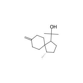 C=C1CCC2(CC1)C(C(C)(C)O)CC[C@@H]2C